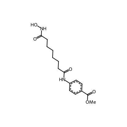 COC(=O)c1ccc(NC(=O)CCCCCCC(=O)NO)cc1